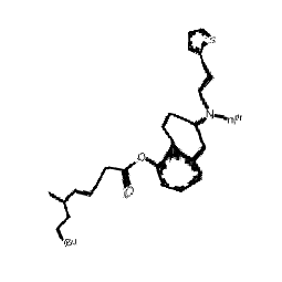 CCCN(CCc1cccs1)C1CCc2c(cccc2OC(=O)CCCC(C)CCC(C)CC)C1